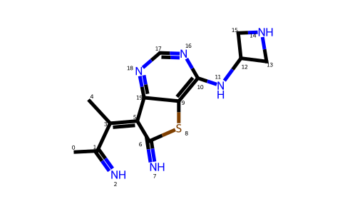 CC(=N)/C(C)=C1\C(=N)Sc2c(NC3CNC3)ncnc21